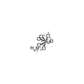 [Cl][Ru-]([Cl])([Cl])([Cl])([Cl])[Cl].[NH4+]